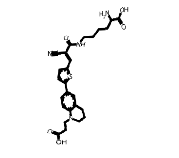 N#C/C(=C\c1ccc(-c2ccc3c(c2)CCCN3CCC(=O)O)s1)C(=O)NCCCCC(N)C(=O)O